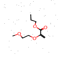 C=C(OCCOC)C(=O)OCCC